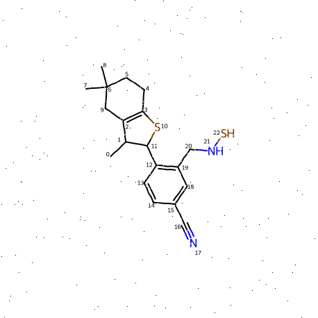 CC1C2=C(CCC(C)(C)C2)SC1c1ccc(C#N)cc1CNS